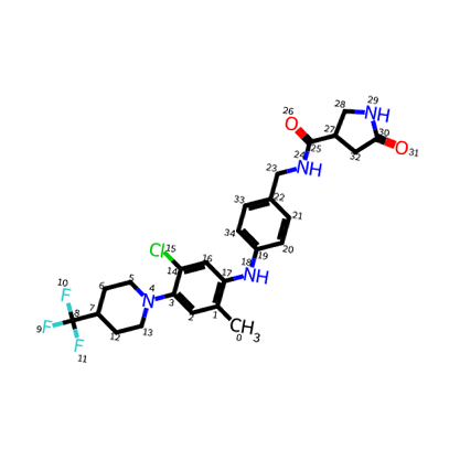 Cc1cc(N2CCC(C(F)(F)F)CC2)c(Cl)cc1Nc1ccc(CNC(=O)C2CNC(=O)C2)cc1